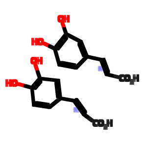 O=C(O)/C=C/c1ccc(O)c(O)c1.O=C(O)/C=C/c1ccc(O)c(O)c1